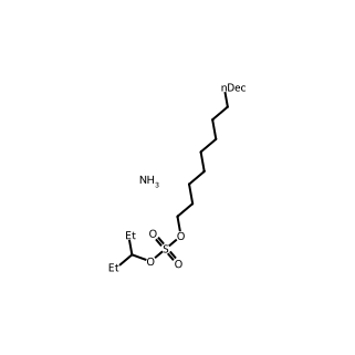 CCCCCCCCCCCCCCCCCCOS(=O)(=O)OC(CC)CC.N